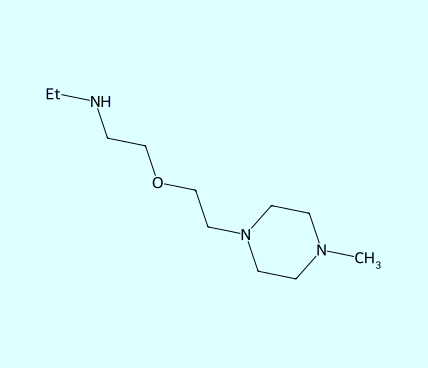 CCNCCOCCN1CCN(C)CC1